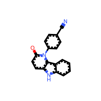 N#Cc1ccc(-n2c(=O)ccc3[nH]c4ccccc4c32)cc1